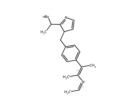 C/C=N\C(C)=C(/C)c1ccc(CC2C=CN=C2C(C)CCCC)cc1